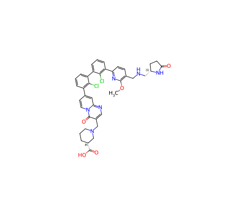 COc1nc(-c2cccc(-c3cccc(-c4ccn5c(=O)c(CN6CCC[C@@H](C(=O)O)C6)cnc5c4)c3Cl)c2Cl)ccc1CNC[C@@H]1CCC(=O)N1